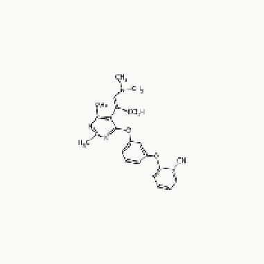 CSc1nc(C)nc(Oc2cccc(Oc3ccccc3C#N)c2)c1C(=CN(C)C)C(=O)O